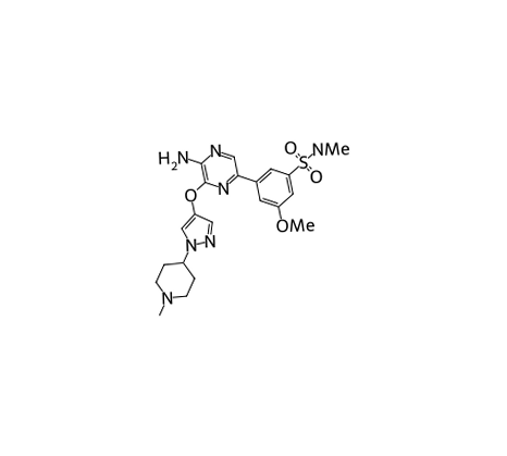 CNS(=O)(=O)c1cc(OC)cc(-c2cnc(N)c(Oc3cnn(C4CCN(C)CC4)c3)n2)c1